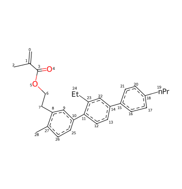 C=C(C)C(=O)OCCc1cc(-c2ccc(-c3ccc(CCC)cc3)cc2CC)ccc1C